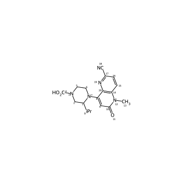 CC(C)C1CN(C(=O)O)CCN1c1cc(=O)n(C)c2ccc(C#N)nc12